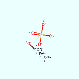 O=C([O-])[O-].O=P([O-])([O-])[O-].[Fe+2].[Fe+3]